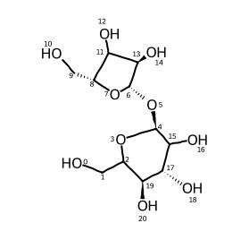 OCC1O[C@@H](O[C@@H]2O[C@H](CO)C(O)[C@H]2O)C(O)[C@H](O)[C@H]1O